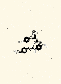 CCC1CCC(COC(=O)Nc2ccc(C)c(NC(=O)OC(COC)COc3ccc(C)cc3)c2)CC1